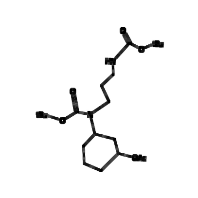 CC(=O)OC1CCCC(N(CCCNC(=O)OC(C)(C)C)C(=O)OC(C)(C)C)C1